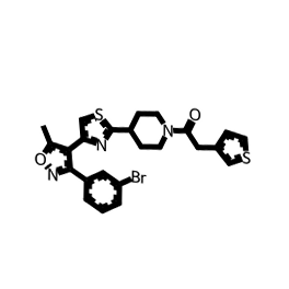 Cc1onc(-c2cccc(Br)c2)c1-c1csc(C2CCN(C(=O)Cc3ccsc3)CC2)n1